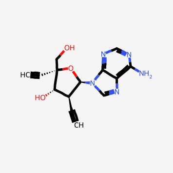 C#C[C@@H]1[C@H](n2cnc3c(N)ncnc32)O[C@](C#C)(CO)[C@H]1O